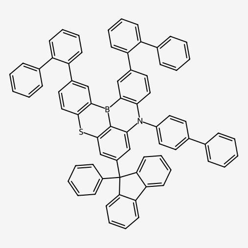 c1ccc(-c2ccc(N3c4ccc(-c5ccccc5-c5ccccc5)cc4B4c5cc(-c6ccccc6-c6ccccc6)ccc5Sc5cc(C6(c7ccccc7)c7ccccc7-c7ccccc76)cc3c54)cc2)cc1